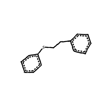 [c]1ccc(SCCc2ccccc2)cc1